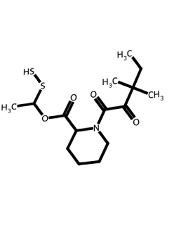 CCC(C)(C)C(=O)C(=O)N1CCCCC1C(=O)OC(C)SS